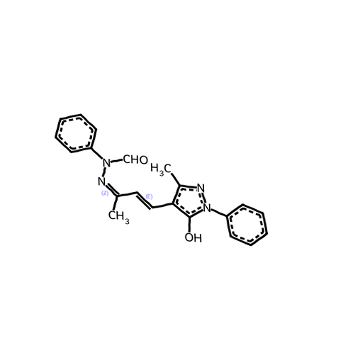 CC(/C=C/c1c(C)nn(-c2ccccc2)c1O)=N/N(C=O)c1ccccc1